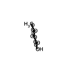 COCCOC(=O)OCC(=O)OCCOC(=O)OCCO